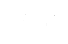 CCn1c(=O)sc2cccc(C3=C(N(C)C)C(=N)CC=C3)c21